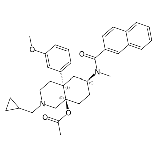 COc1cccc([C@@]23CCN(CC4CC4)C[C@@]2(OC(C)=O)CC[C@H](N(C)C(=O)c2ccc4ccccc4c2)C3)c1